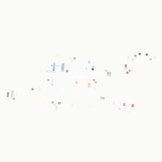 COC[C@H](NC(=O)OC(C)(C)C)C(=O)N[C@@]1(Cc2ccc(Cl)cc2)CCCN(C(=O)[C@@H](CC(=O)OC)Cc2cccc[n+]2[O-])C1